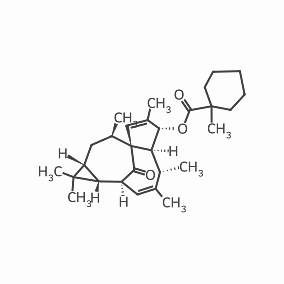 CC1=C[C@@H]2C(=O)[C@]3(C=C(C)[C@H](OC(=O)C4(C)CCCCC4)[C@H]3[C@@H]1C)[C@H](C)C[C@@H]1[C@H]2C1(C)C